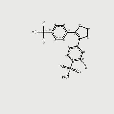 NS(=O)(=O)c1ccc(C2=C(c3ccc(C(F)(F)F)cc3)CCC2)cc1F